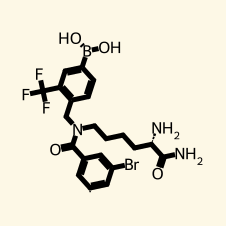 NC(=O)[C@@H](N)CCCCN(Cc1ccc(B(O)O)cc1C(F)(F)F)C(=O)c1c[c]cc(Br)c1